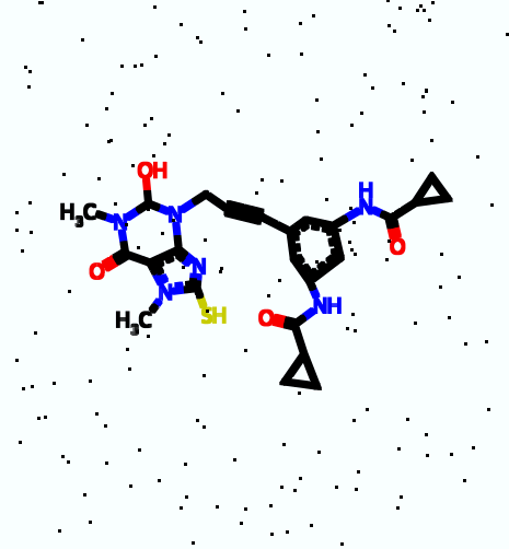 CN1C(=O)c2c(nc(S)n2C)N(CC#Cc2cc(NC(=O)C3CC3)cc(NC(=O)C3CC3)c2)C1O